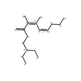 C=C(CCN(CC)CC)/C(C)=C(C)\C=C/CCC